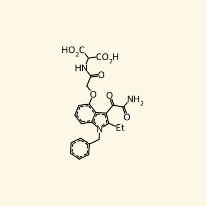 CCc1c(C(=O)C(N)=O)c2c(OCC(=O)NC(C(=O)O)C(=O)O)cccc2n1Cc1ccccc1